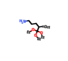 CCCCCCCCC(CCCN)C(OCC)(OCC)OCC